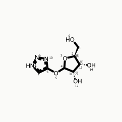 OC[C@@H]1OC(Oc2c[nH]nn2)[C@@H](O)[C@H]1O